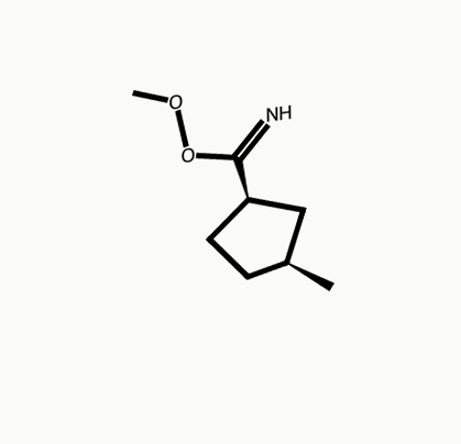 COOC(=N)[C@@H]1CC[C@H](C)C1